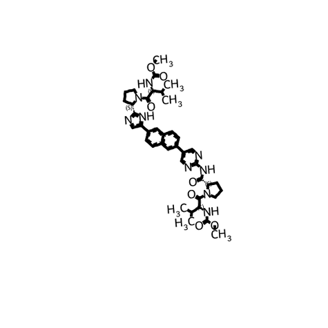 COC(=O)N[C@H](C(=O)N1CCC[C@H]1C(=O)Nc1ncc(-c2ccc3cc(-c4cnc([C@@H]5CCCN5C(=O)[C@@H](NC(=O)OC)C(C)C)[nH]4)ccc3c2)cn1)C(C)C